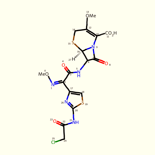 CO/N=C(\C(=O)NC1C(=O)N2C(C(=O)O)=C(OC)CS[C@H]12)c1csc(NC(=O)CCl)n1